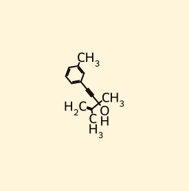 C=C(C)C(C)(O)C#Cc1cccc(C)c1